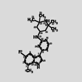 Cc1cc(F)cc2c(-c3ccnc(NC4CC(C)(C)NC(C)(C)C4)n3)c[nH]c12